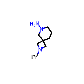 CC(C)N1CC2(CCCN(N)C2)C1